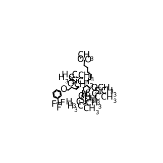 COC(=O)CCC/C=C\C[C@@H]1[C@@H](/C=C/C(COc2cccc(C(F)(F)F)c2)O[Si](C)(C)C(C)(C)C)[C@H](O[Si](C)(C)C(C)(C)C)C[C@@H]1O[Si](C)(C)C(C)(C)C